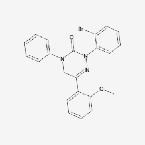 COc1ccccc1C1=NN(c2ccccc2Br)C(=O)N(c2ccccc2)C1